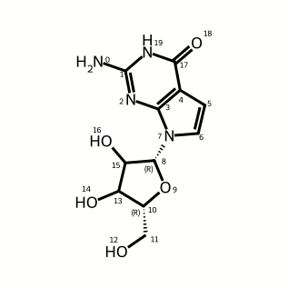 Nc1nc2c(ccn2[C@@H]2O[C@H](CO)C(O)C2O)c(=O)[nH]1